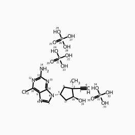 C#C[C@]1(C)C[C@@H](n2cnc3c(Cl)nc(N)nc32)C[C@@H]1O.O=P(O)(O)O.O=P(O)(O)O.O=P(O)(O)O